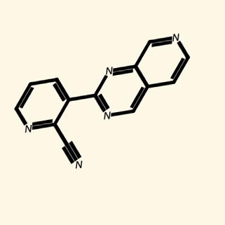 N#Cc1ncccc1-c1ncc2ccncc2n1